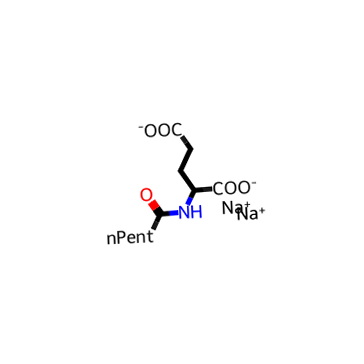 CCCCCC(=O)NC(CCC(=O)[O-])C(=O)[O-].[Na+].[Na+]